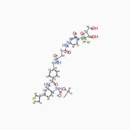 CC(C)(C)OC(=O)Nc1ccc(-c2ccsc2)cc1NC(=O)c1ccc(CNC(=O)CCC(=O)Nc2ccn(C3OC(CO)C(O)C3(F)F)c(=O)n2)cc1